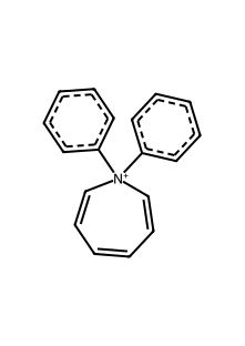 C1=CC=C[N+](c2ccccc2)(c2ccccc2)C=C1